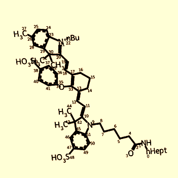 CCCCCCCNC(=O)CCCCCN1/C(=C/C=C2\CCCC(/C=C/C3=[N+](CCCC)c4ccc(C)cc4C3(C)C)=C2Oc2ccc(S(=O)(=O)O)cc2)C(C)(C)c2cc(S(=O)(=O)O)ccc21